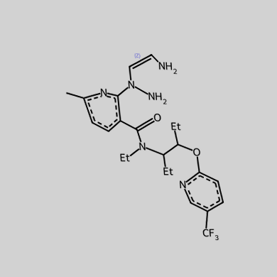 CCC(Oc1ccc(C(F)(F)F)cn1)C(CC)N(CC)C(=O)c1ccc(C)nc1N(N)/C=C\N